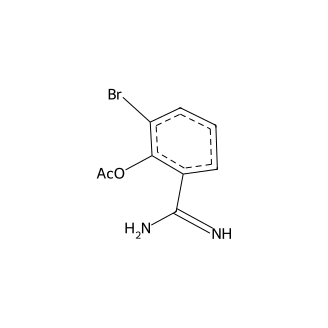 CC(=O)Oc1c(Br)cccc1C(=N)N